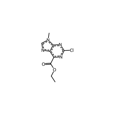 CCOC(=O)c1nc(Cl)nc2c1ncn2C